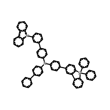 c1ccc(-c2ccc(N(c3ccc(-c4cccc(-n5c6ccccc6c6ccccc65)c4)cc3)c3ccc(-c4ccc5c(c4)-c4ccccc4[Si]5(c4ccccc4)c4ccccc4)cc3)cc2)cc1